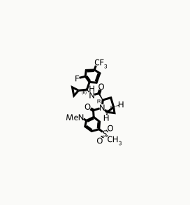 CNc1ccc(S(C)(=O)=O)cc1C(=O)N1[C@@H](C(=O)N[C@@H](c2ccc(C(F)(F)F)cc2F)C2CC2)C[C@H]2C[C@H]21